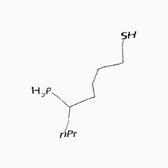 CCCC(P)CCCS